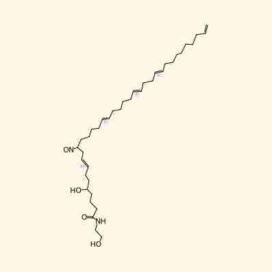 C=CCCCCCCC/C=C/CC/C=C/CCCC/C=C/CCCCC(C/C=C/CCC(O)CCCC(=O)NCCO)N=O